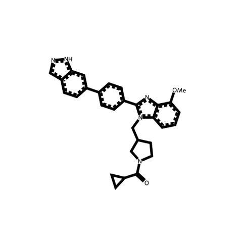 COc1cccc2c1nc(-c1ccc(-c3ccc4cn[nH]c4c3)cc1)n2CC1CCN(C(=O)C2CC2)C1